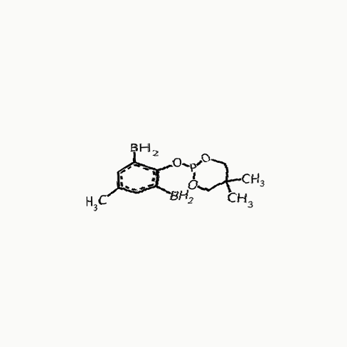 Bc1cc(C)cc(B)c1OP1OCC(C)(C)CO1